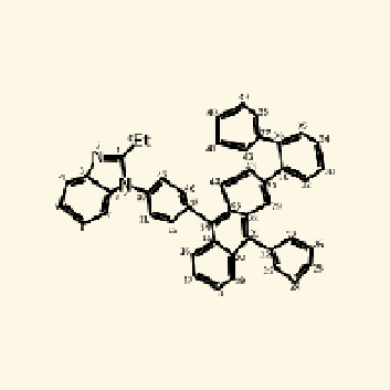 CCc1nc2ccccc2n1-c1ccc(-c2c3ccccc3c(-c3ccccc3)c3cc(-c4ccccc4-c4ccccc4)ccc23)cc1